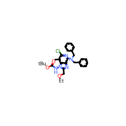 CCOCc1nc2c(N(Cc3ccccc3)Cc3ccccc3)nc(Cl)c(C)c2n1NC(=O)OC(C)(C)C